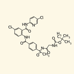 CC(C)(C)OC(=O)NCC(=O)N=S(C)(=O)c1ccc(C(=O)Nc2ccc(Cl)cc2C(=O)Nc2ccc(Cl)cn2)cc1